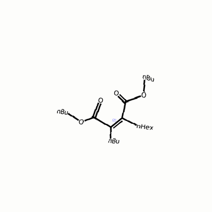 CCCCCC/C(C(=O)OCCCC)=C(\CCCC)C(=O)OCCCC